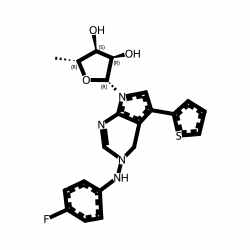 C[C@H]1O[C@@H](n2cc(-c3cccs3)c3c2N=CN(Nc2ccc(F)cc2)C3)[C@H](O)[C@@H]1O